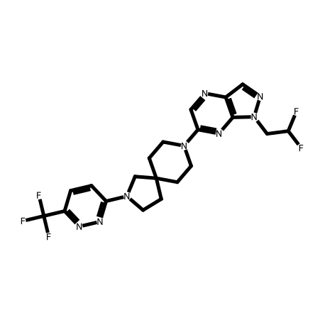 FC(F)Cn1ncc2ncc(N3CCC4(CCN(c5ccc(C(F)(F)F)nn5)C4)CC3)nc21